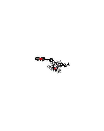 COC(=O)N[C@H](C(=O)NN(Cc1c(F)cc(-c2ccn(C3CC3)n2)cc1F)C[C@H](O)[C@H](Cc1ccc(C#Cc2ccc(N3CC4CCC(C3)N4C3COC3)nc2)cc1)NC(=O)[C@@H](NC(=O)OC)C(C)(C)C(F)(F)F)C(C)(C)C